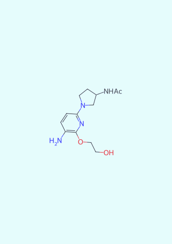 CC(=O)NC1CCN(c2ccc(N)c(OCCO)n2)C1